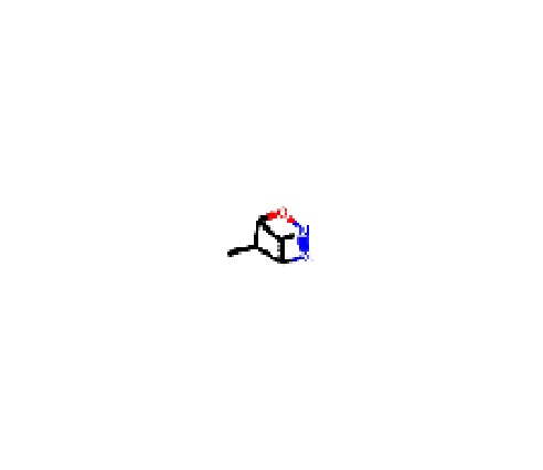 CC1C2N=NOC1C2C